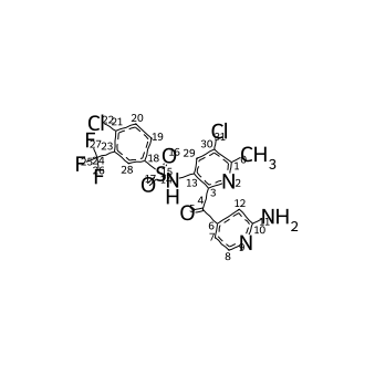 Cc1nc(C(=O)c2ccnc(N)c2)c(NS(=O)(=O)c2ccc(Cl)c(C(F)(F)F)c2)cc1Cl